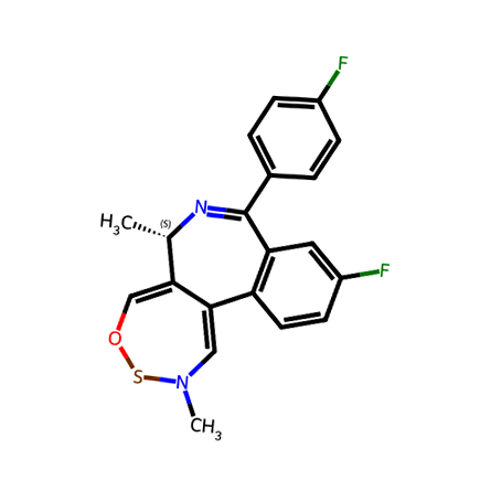 C[C@@H]1N=C(c2ccc(F)cc2)c2cc(F)ccc2-c2cn(C)socc21